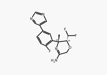 C[C@]1(c2cc(-c3cncnc3)ccc2F)N=C(N)CO[C@H]1C(F)F